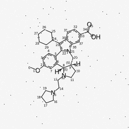 COc1ccc2c(c1)[C@@H]1[C@@H](CCN1CCN1CCCC1)Cn1c-2c(C2CCCCC2)c2ccc(C(=O)O)cc21